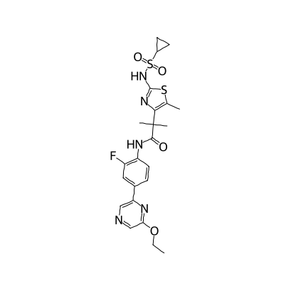 CCOc1cncc(-c2ccc(NC(=O)C(C)(C)c3nc(NS(=O)(=O)C4CC4)sc3C)c(F)c2)n1